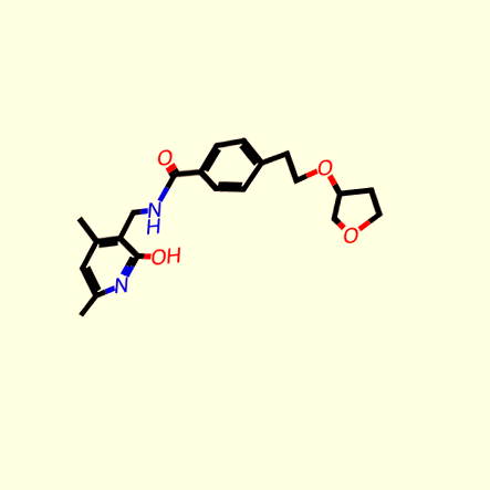 Cc1cc(C)c(CNC(=O)c2ccc(CCOC3CCOC3)cc2)c(O)n1